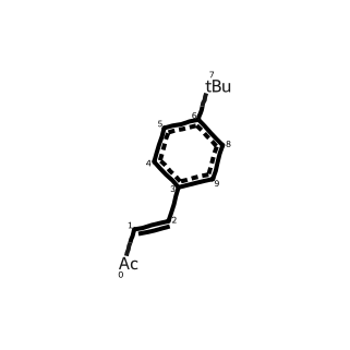 CC(=O)C=Cc1ccc(C(C)(C)C)cc1